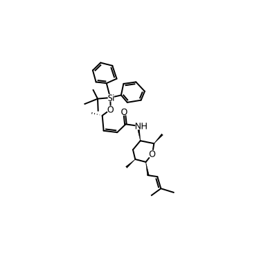 CC(C)=CC[C@@H]1O[C@H](C)[C@H](NC(=O)/C=C\[C@H](C)O[Si](c2ccccc2)(c2ccccc2)C(C)(C)C)C[C@@H]1C